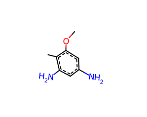 COc1cc(N)cc(N)c1C